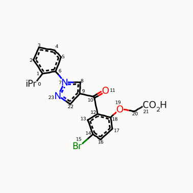 CC(C)c1ccccc1-n1cc(C(=O)c2cc(Br)ccc2OCC(=O)O)cn1